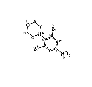 O=[N+]([O-])c1cc(Br)c(N2CCOCC2)c(Br)c1